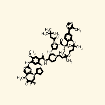 COc1cc(C(=O)NC2CCN(CCC(C)(C)OCCC(C)(C)Oc3cc(-c4scnc4C)ccc3CNC(=O)[C@@H]3C[C@@H](O)CN3C(=O)CC(C)(C)C)CC2)c(F)cc1Nc1ncc2c(n1)N(C1CCCC1)CC(F)(F)C(=O)N2C